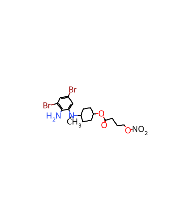 CN(c1cc(Br)cc(Br)c1N)C1CCC(OC(=O)CCCO[N+](=O)[O-])CC1